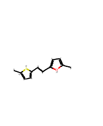 Cc1ccc(CCc2ccc(C)s2)o1